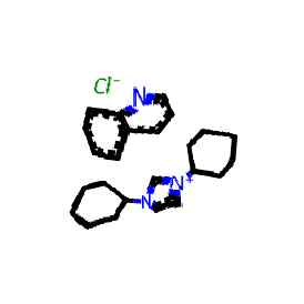 [Cl-].c1c[n+](C2CCCCC2)cn1C1CCCCC1.c1ccc2ncccc2c1